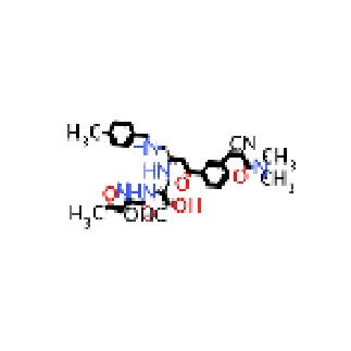 Cc1ccc(CNC[C@H](CC(=O)c2cccc(C=C(C#N)C(=O)N(C)C)c2)NC[C@H](NC(=O)c2cc(C)on2)[C@@H](O)C=O)cc1